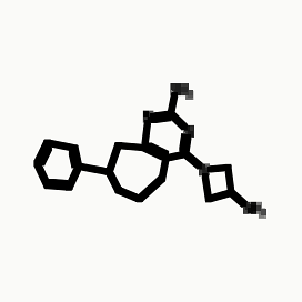 Nc1nc2c(c(N3CC(N)C3)n1)CCCC(c1ccccc1)C2